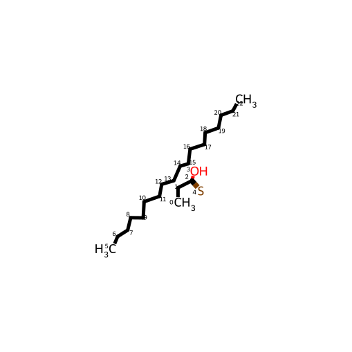 CCC(O)=S.CCCCCCCCCCCCCCCCCC